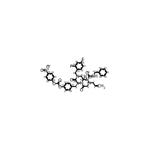 C=CCN1CC(=O)N2[C@@H](Cc3ccc(OC(=O)Oc4ccc([N+](=O)[O-])cc4)cc3)C(=O)N(Cc3ccc(F)cc3F)C[C@@H]2N1C(=O)NCc1ccccc1